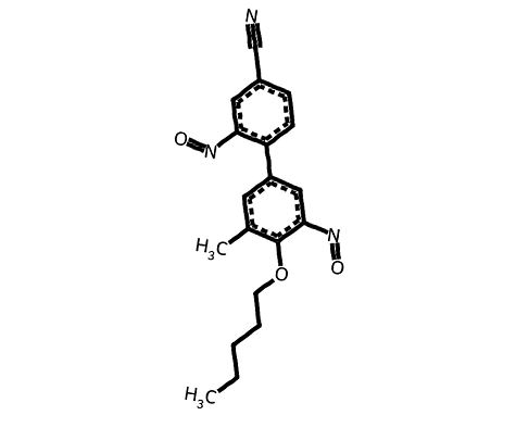 CCCCCOc1c(C)cc(-c2ccc(C#N)cc2N=O)cc1N=O